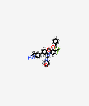 FC(F)(F)c1ccc2c(c1OCc1ccccc1)Oc1ccc(-c3ccc4[nH]ccc4c3)cc1N2CCN1CCOCC1